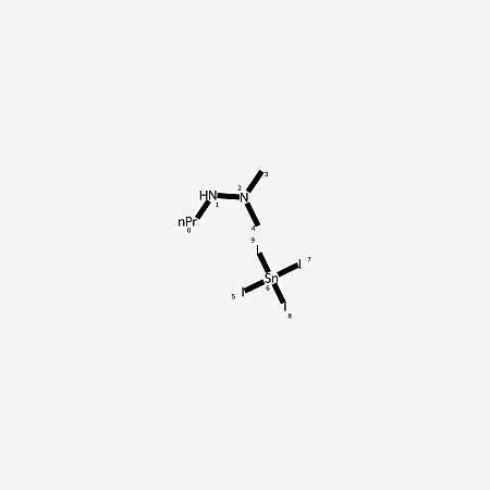 CCCNN(C)C.[I][Sn]([I])([I])[I]